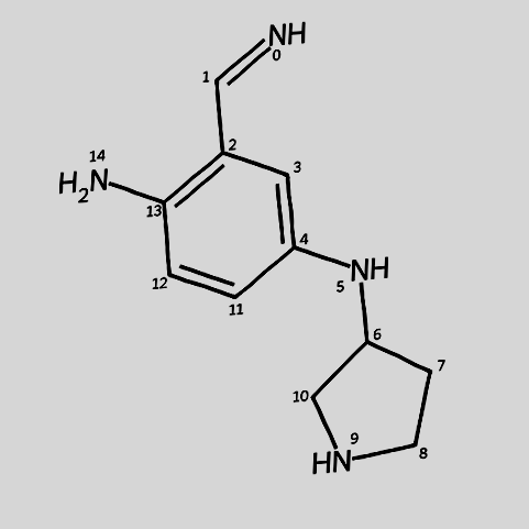 N=Cc1cc(NC2CCNC2)ccc1N